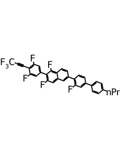 CCCc1ccc(-c2ccc(-c3ccc4c(F)c(-c5cc(F)c(C#CC(F)(F)F)c(F)c5)c(F)cc4c3)c(F)c2)cc1